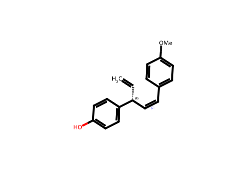 C=C[C@H](/C=C\c1ccc(OC)cc1)c1ccc(O)cc1